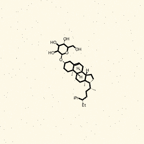 CC[C@@H](CC[C@@H](C)[C@H]1CC[C@H]2[C@@H]3CC=C4C[C@@H](O[C@@H]5OC(CO)[C@@H](O)C(O)C5O)CC[C@]4(C)[C@H]3CC[C@]12C)C(C)C